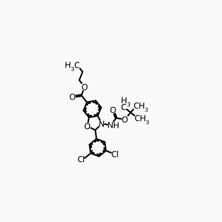 CCCOC(=O)c1ccc2c(c1)OC(c1cc(Cl)cc(Cl)c1)N2NC(=O)OC(C)(C)C